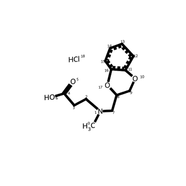 CN(CCC(=O)O)CC1COc2ccccc2O1.Cl